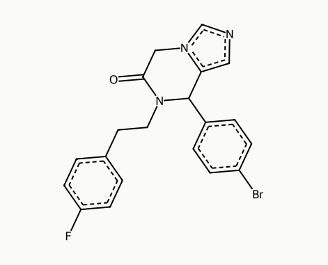 O=C1Cn2cncc2C(c2ccc(Br)cc2)N1CCc1ccc(F)cc1